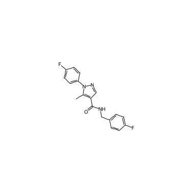 Cc1c(C(=O)NCc2ccc(F)cc2)cnn1-c1ccc(F)cc1